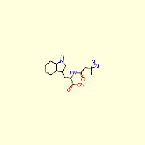 CC1(CC(=O)NC(CC2CNC3CCCCC23)C(=O)O)N=N1